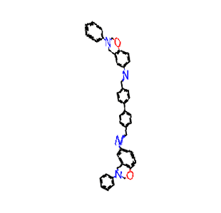 C(=Nc1ccc2c(c1)CN(c1ccccc1)CO2)c1ccc(-c2ccc(C=Nc3ccc4c(c3)CN(c3ccccc3)CO4)cc2)cc1